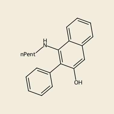 CCCCCNc1c(-c2ccccc2)c(O)cc2ccccc12